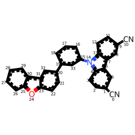 N#Cc1ccc2c(c1)c1cc(C#N)ccc1n2-c1cccc(-c2ccc3oc4ccccc4c3c2)c1